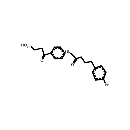 O=C(O)CCC(=O)c1ccc(NC(=O)CCCc2ccc(Br)cc2)cc1